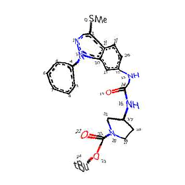 CSc1nn(-c2ccccc2)c2cc(NC(=O)NC3CCN(C(=O)OC(C)(C)C)C3)ccc12